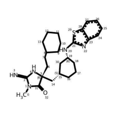 CN1C(=N)N[C@](CCC2CCCCC2)(C[C@H]2CCC[C@@H](Nc3nc4ccccc4s3)C2)C1=O